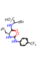 CC(C)C[C@H](NC(=O)Nc1ccc(C(F)(F)F)cc1)C(=O)NC(C(=O)O)C(C)(C)C